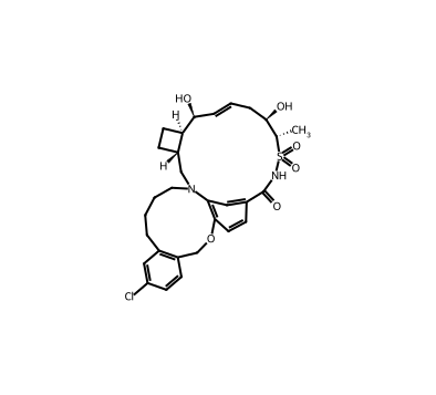 C[C@H]1[C@H](O)C/C=C/[C@H](O)[C@@H]2CC[C@H]2CN2CCCCc3cc(Cl)ccc3COc3ccc(cc32)C(=O)NS1(=O)=O